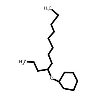 CCCCCCCCC(CCC)OC1CCCCC1